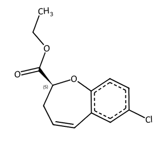 CCOC(=O)[C@@H]1CC=Cc2cc(Cl)ccc2O1